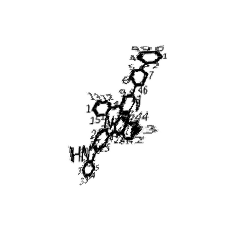 c1ccc(-c2ccc(-c3cc(-c4ccccc4-n4c5ccccc5c5cc6c(cc54)[nH]c4ccccc46)cc(-c4ccccc4)n3)cc2)cc1